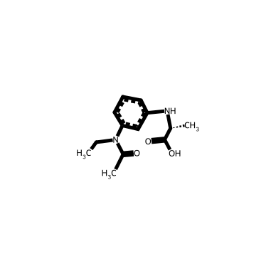 CCN(C(C)=O)c1cccc(N[C@H](C)C(=O)O)c1